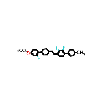 CCCCCCCCOc1ccc(C2CCC(CCc3ccc(C4=CCC(C)CC4)c(F)c3F)CC2)c(F)c1